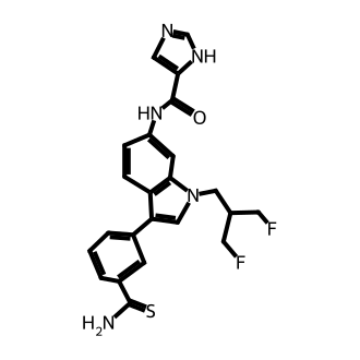 NC(=S)c1cccc(-c2cn(CC(CF)CF)c3cc(NC(=O)c4cnc[nH]4)ccc23)c1